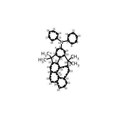 CC1(C)c2cc(N(c3ccccc3)c3ccccc3)cc3c2-c2c1cc1ccc4cccc5cc(c2c1c45)C3(C)C